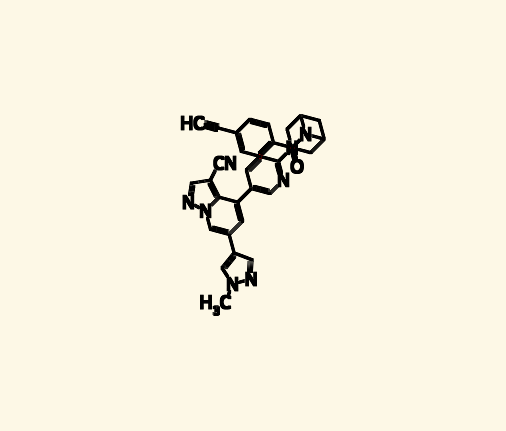 C#Cc1ccc(C(=O)N2C3CC2CN(c2ccc(-c4cc(-c5cnn(C)c5)cn5ncc(C#N)c45)cn2)C3)cc1